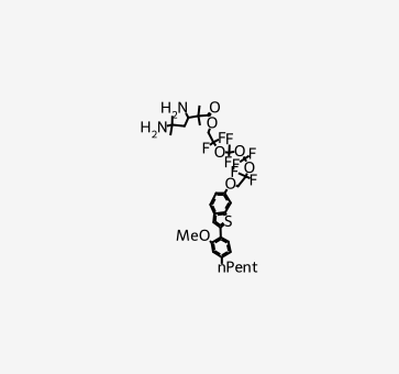 CCCCCc1ccc(-c2cc3ccc(OCC(F)(F)OC(F)(F)OC(F)(F)OC(F)(F)COC(=O)C(C)(C)C(N)CC(C)(C)N)cc3s2)c(OC)c1